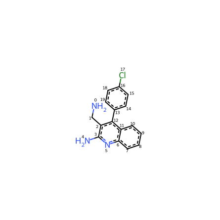 NCc1c(N)nc2ccccc2c1-c1ccc(Cl)cc1